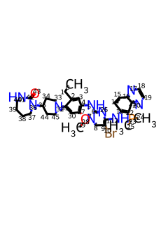 CCc1cc(Nc2ncc(Br)c(Nc3ccc4nccnc4c3P(C)C)n2)c(OC)cc1N1CCC(N2CCCCNC2=O)CC1